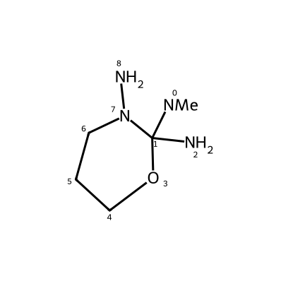 CNC1(N)OCCCN1N